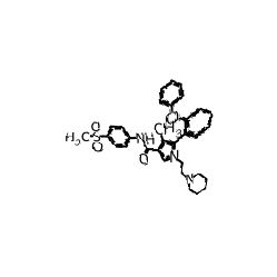 Cc1c(C(=O)Nc2ccc(S(C)(=O)=O)cc2)cn(CCN2CCCCC2)c1-c1ccccc1Oc1ccccc1